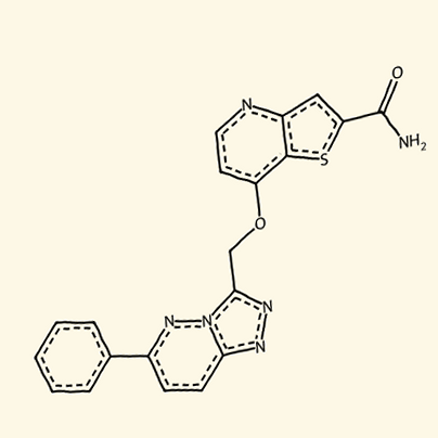 NC(=O)c1cc2nccc(OCc3nnc4ccc(-c5ccccc5)nn34)c2s1